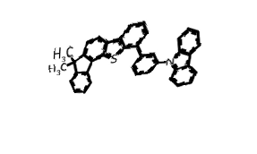 CC1(C)c2ccccc2-c2c1ccc1c2sc2c(-c3cccc(-n4c5ccccc5c5ccccc54)c3)cccc21